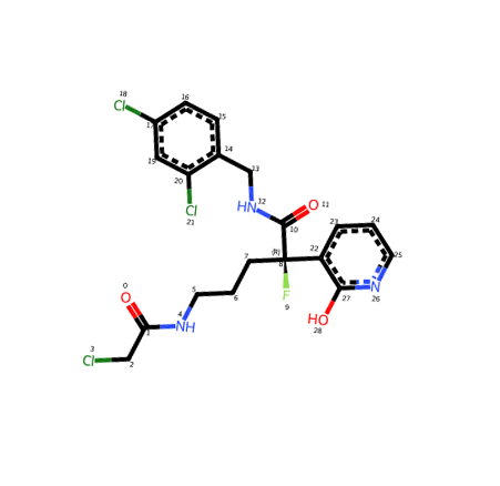 O=C(CCl)NCCC[C@](F)(C(=O)NCc1ccc(Cl)cc1Cl)c1cccnc1O